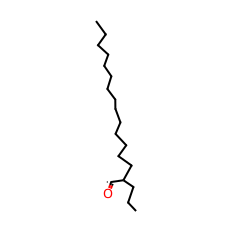 CCCCCCCCCCCCCCC([C]=O)CCC